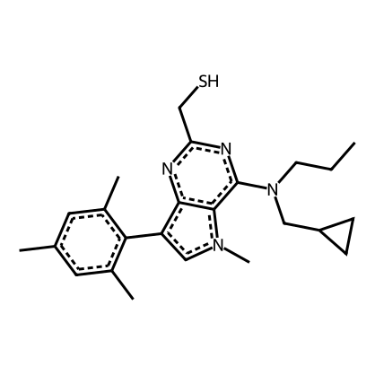 CCCN(CC1CC1)c1nc(CS)nc2c(-c3c(C)cc(C)cc3C)cn(C)c12